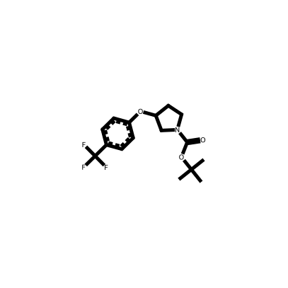 CC(C)(C)OC(=O)N1CCC(Oc2ccc(C(F)(F)F)cc2)C1